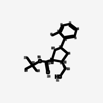 Cc1ccccc1C1C[C@@H](CO)N(C(=O)OC(C)(C)C)C1